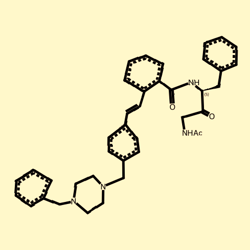 CC(=O)NCC(=O)[C@H](Cc1ccccc1)NC(=O)c1ccccc1C=Cc1ccc(CN2CCN(Cc3ccccc3)CC2)cc1